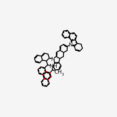 CC(NC(c1cccc2c1ccc1ccccc12)C1C2C=CC=CC2=CCC1N1C2=CC3=CC=C(n4c5c(c6ccc7ccccc7c64)CCC=C5)CC3CC2C2=C1CCC=C2)c1ccccc1